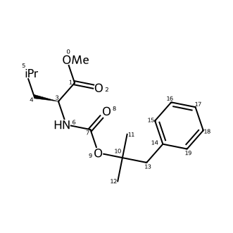 COC(=O)[C@H](CC(C)C)NC(=O)OC(C)(C)Cc1ccccc1